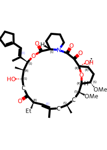 CC[C@@H]1/C=C(\C)C[C@H](C)C[C@H](OC)[C@H]2O[C@@](O)(C(=O)C(=O)N3CCCC[C@H]3C(=O)O[C@H](/C(C)=C/C3=CCCC3)[C@H](C)[C@@H](O)CC1=O)[C@H](C)C[C@@H]2OC